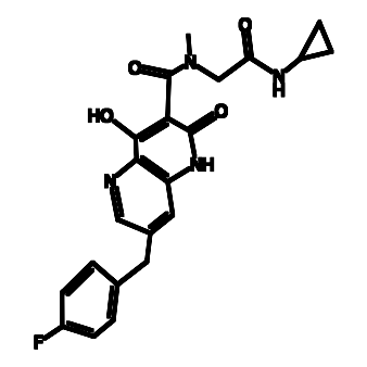 CN(CC(=O)NC1CC1)C(=O)c1c(O)c2ncc(Cc3ccc(F)cc3)cc2[nH]c1=O